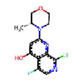 C[C@@H]1COCCN1c1cc(O)c2c(F)cnc(Cl)c2n1